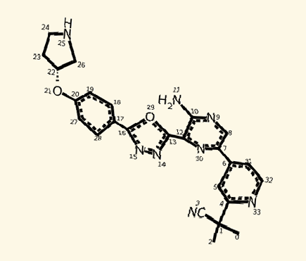 CC(C)(C#N)c1cc(-c2cnc(N)c(-c3nnc(-c4ccc(O[C@@H]5CCNC5)cc4)o3)n2)ccn1